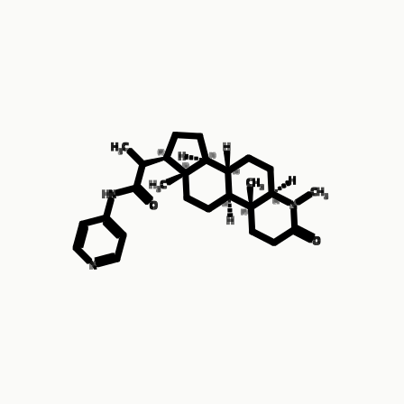 CC(C(=O)Nc1ccncc1)[C@H]1CC[C@H]2[C@@H]3CC[C@H]4N(C)C(=O)CC[C@]4(C)[C@H]3CC[C@]12C